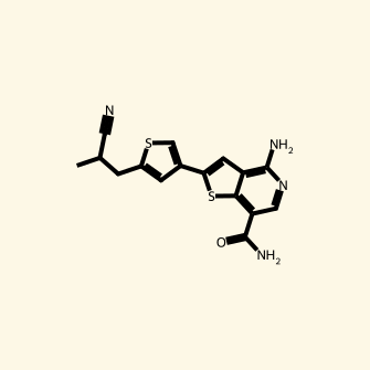 CC(C#N)Cc1cc(-c2cc3c(N)ncc(C(N)=O)c3s2)cs1